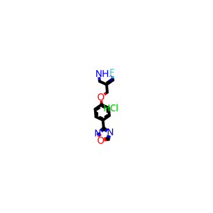 Cl.NC/C(=C\F)COc1ccc(-c2ncon2)cc1